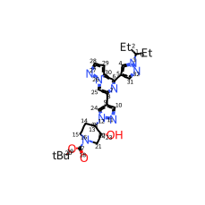 CCC(CC)n1cc(-c2nc(-c3cnn([C@@H]4CCN(C(=O)OC(C)(C)C)C[C@H]4O)c3)cn3nccc23)cn1